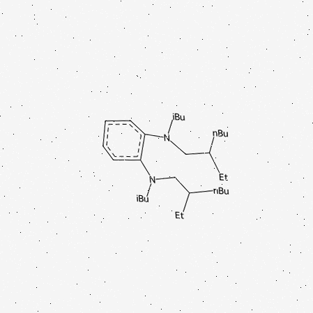 CCCCC(CC)CN(c1ccccc1N(CC(CC)CCCC)C(C)CC)C(C)CC